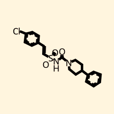 O=C(NS(=O)(=O)/C=C/c1ccc(Cl)cc1)N1CCC(c2ccccc2)CC1